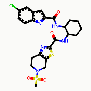 CS(=O)(=O)N1CCc2nc(C(=O)NC3CCCCC3NC(=O)c3cc4cc(Cl)ccc4[nH]3)sc2C1